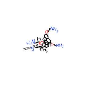 CCCCCCCCNCCC[C@@H](C)C1CC[C@H]2C3[C@H](OCCN)CC4C[C@H](OCCN)CCC4(C)[C@H]3C[C@H](OCCN)C12C